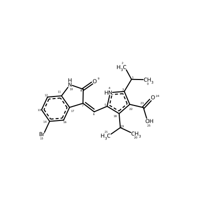 CC(C)c1[nH]c(C=C2C(=O)Nc3ccc(Br)cc32)c(C(C)C)c1C(=O)O